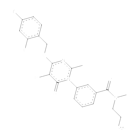 COCCN(C)C(=O)c1cccc(-n2c(C)nc(OCc3ccc(F)cc3F)c(Br)c2=O)c1